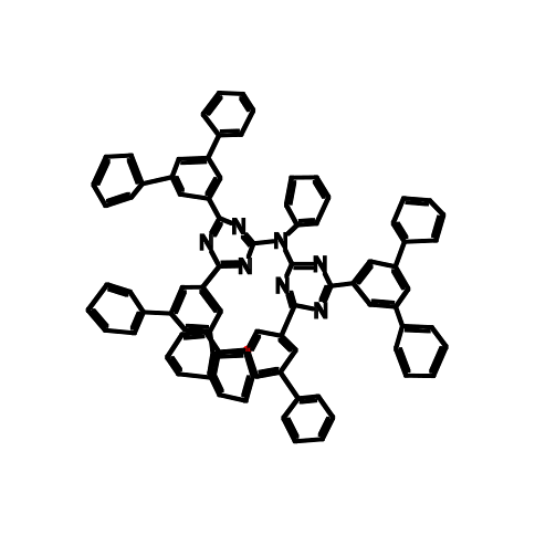 c1ccc(-c2cc(-c3ccccc3)cc(-c3nc(-c4cc(-c5ccccc5)cc(-c5ccccc5)c4)nc(N(c4ccccc4)c4nc(-c5cc(-c6ccccc6)cc(-c6ccccc6)c5)nc(-c5cc(-c6ccccc6)cc(-c6ccccc6)c5)n4)n3)c2)cc1